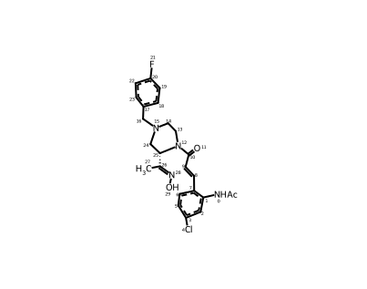 CC(=O)Nc1cc(Cl)ccc1/C=C/C(=O)N1CCN(Cc2ccc(F)cc2)C[C@H]1C(C)=NO